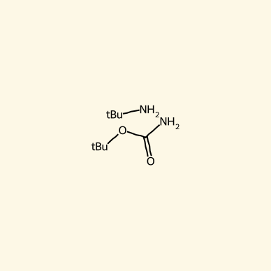 CC(C)(C)N.CC(C)(C)OC(N)=O